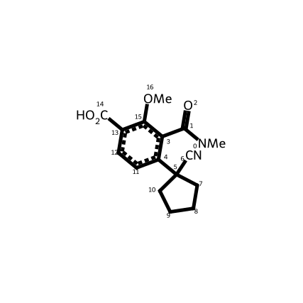 CNC(=O)c1c(C2(C#N)CCCC2)ccc(C(=O)O)c1OC